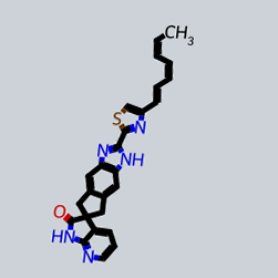 C\C=C/C=C\C=C\c1csc(-c2nc3cc4c(cc3[nH]2)CC2(C4)C(=O)Nc3ncccc32)n1